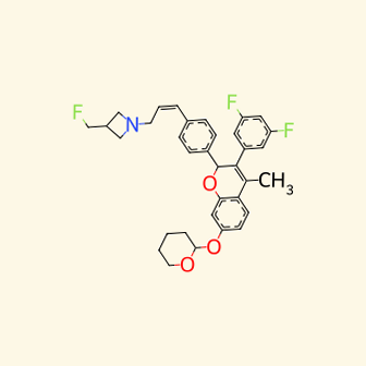 CC1=C(c2cc(F)cc(F)c2)C(c2ccc(/C=C\CN3CC(CF)C3)cc2)Oc2cc(OC3CCCCO3)ccc21